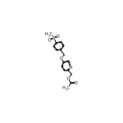 CC(=O)OCc1ccc(OCc2ccc(S(C)(=O)=O)cc2)cn1